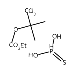 CCOC(=O)OC(C)(C)C(Cl)(Cl)Cl.O[PH](O)=S